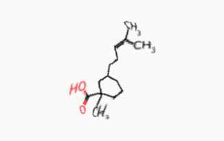 CC(C)=CCCC1CCCC(C)(C(=O)O)C1